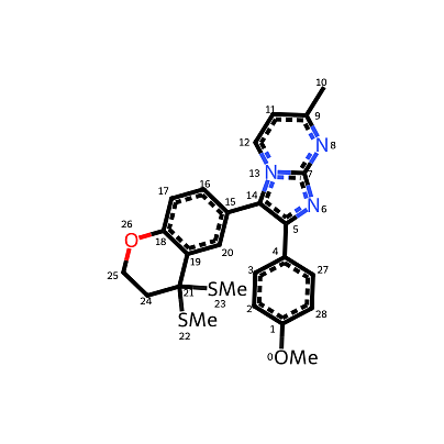 COc1ccc(-c2nc3nc(C)ccn3c2-c2ccc3c(c2)C(SC)(SC)CCO3)cc1